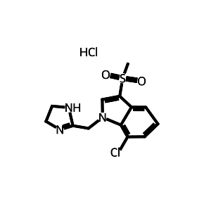 CS(=O)(=O)c1cn(CC2=NCCN2)c2c(Cl)cccc12.Cl